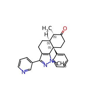 C[C@@H]1C(=O)CC[C@]2(c3ccccc3)c3c(c(-c4cccnc4)nn3C)CC[C@@H]12